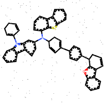 C1=CC(n2c3ccccc3c3ccc(N(c4cccc5c4sc4ccccc45)C4C=CC(c5ccc(C6CC=Cc7c6oc6ccccc76)cc5)=CC4)cc32)=CCC1